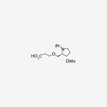 CO[C@H]1CCN(C(C)C)[C@@H]1COCCC(=O)O